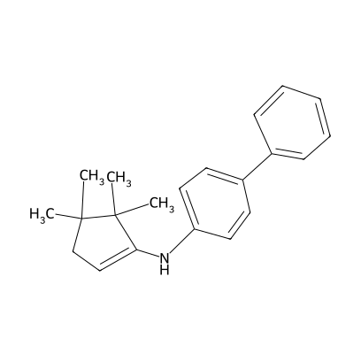 CC1(C)CC=C(Nc2ccc(-c3ccccc3)cc2)C1(C)C